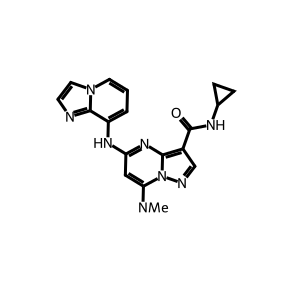 CNc1cc(Nc2cccn3ccnc23)nc2c(C(=O)NC3CC3)cnn12